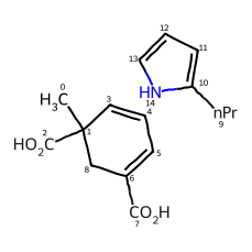 CC1(C(=O)O)C=CC=C(C(=O)O)C1.CCCc1ccc[nH]1